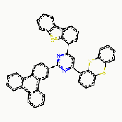 c1ccc2c(c1)Sc1cccc(-c3cc(-c4cccc5c4sc4ccccc45)nc(-c4ccc5c6ccccc6c6ccccc6c5c4)n3)c1S2